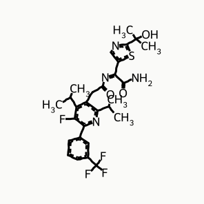 CC(C)c1nc(-c2cccc(C(F)(F)F)c2)c(F)c(C(C)C)c1CC(=O)/N=C(\C(N)=O)c1cnc(C(C)(C)O)s1